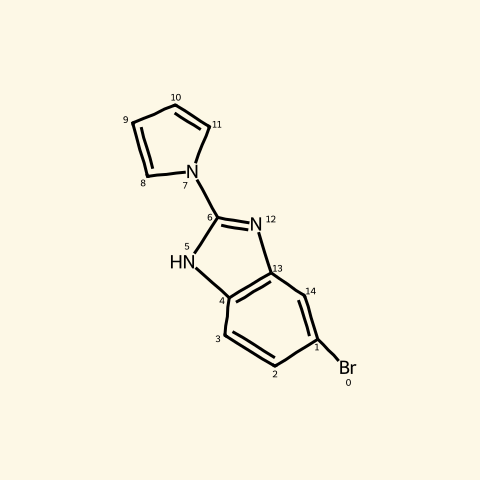 Brc1ccc2[nH]c(-n3cccc3)nc2c1